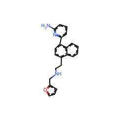 Nc1cccc(-c2ccc(CCNCc3ccco3)c3ccccc23)n1